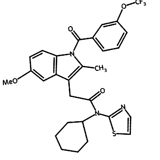 COc1ccc2c(c1)c(CC(=O)N(c1nccs1)C1CCCCC1)c(C)n2C(=O)c1cccc(OC(F)(F)F)c1